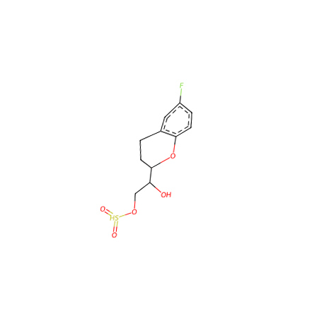 O=[SH](=O)OCC(O)C1CCc2cc(F)ccc2O1